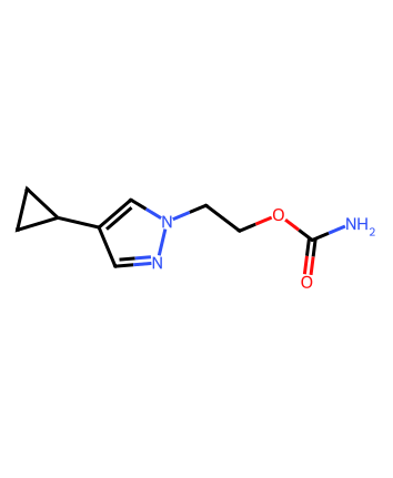 NC(=O)OCCn1cc(C2CC2)cn1